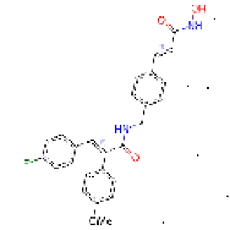 COc1ccc(/C(=C\c2ccc(F)cc2)C(=O)NCc2ccc(/C=C/C(=O)NO)cc2)cc1